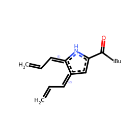 C=C/C=c1/cc(C(=O)C(C)CC)[nH]/c1=C/C=C